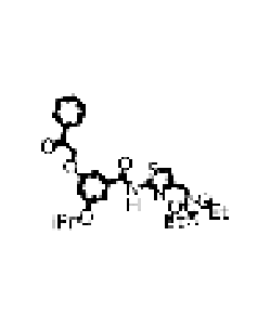 CCOP(=O)(Cc1csc(NC(=O)c2cc(OCC(=O)c3ccccc3)cc(OC(C)C)c2)n1)OCC